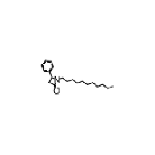 CCCCCCCCCCCN1C(=O)CC1c1ccccc1